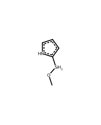 CO[SiH2]c1ccc[nH]1